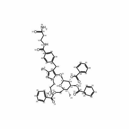 CC(C)c1nn(CCN)c(O[C@@H]2O[C@H](COC(=O)c3ccccc3)[C@@H](F)[C@H](OC(=O)c3ccccc3)[C@H]2OC(=O)c2ccccc2)c1Cc1ccc(C(=O)NCCC(N)=O)cc1